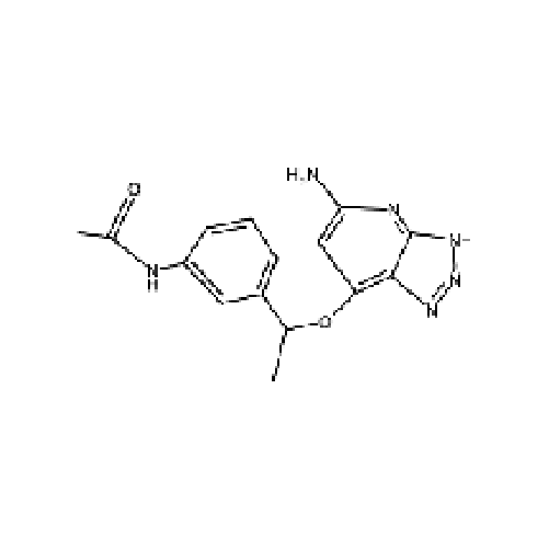 CC(=O)Nc1cccc(C(C)Oc2cc(N)nc3[nH]nnc23)c1